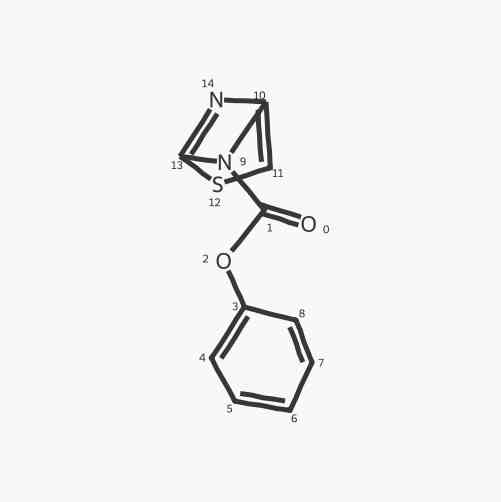 O=C(Oc1ccccc1)N1c2csc1n2